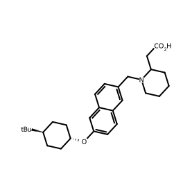 CC(C)(C)[C@H]1CC[C@H](Oc2ccc3cc(CN4CCCCC4CC(=O)O)ccc3c2)CC1